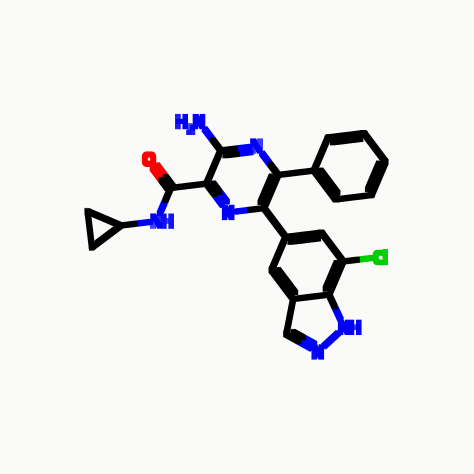 Nc1nc(-c2ccccc2)c(-c2cc(Cl)c3[nH]ncc3c2)nc1C(=O)NC1CC1